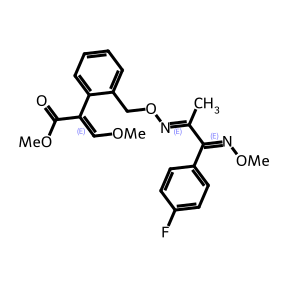 CO/C=C(/C(=O)OC)c1ccccc1CO/N=C(C)/C(=N/OC)c1ccc(F)cc1